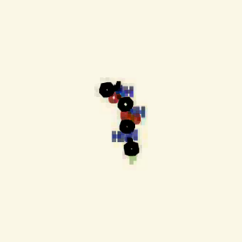 C[C@@H](NC(=O)[C@H]1CC[C@H](NS(=O)(=O)c2ccc3[nH]c(-c4ccc(F)cc4)nc3c2)CC1)c1ccccc1